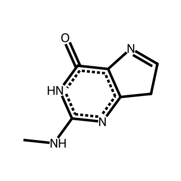 CNc1nc2c(c(=O)[nH]1)N=CC2